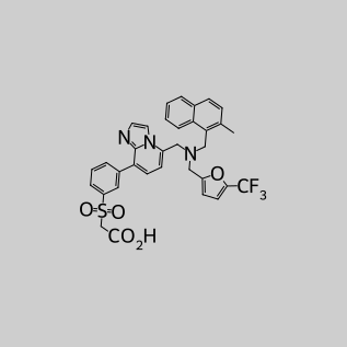 Cc1ccc2ccccc2c1CN(Cc1ccc(C(F)(F)F)o1)Cc1ccc(-c2cccc(S(=O)(=O)CC(=O)O)c2)c2nccn12